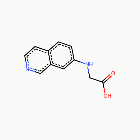 O=C(O)CNc1ccc2ccncc2c1